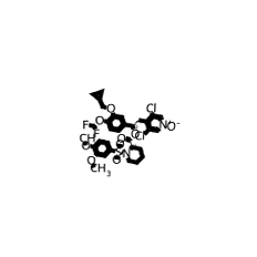 COc1ccc(S(=O)(=O)N2CCCC[C@H]2C(=O)O[C@@H](Cc2c(Cl)c[n+]([O-])cc2Cl)c2ccc(OC(F)F)c(OCC3CC3)c2)cc1OC